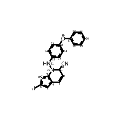 N#CC1C=Cc2cc(I)sc2N1Nc1ccc(Oc2ccccc2)cc1